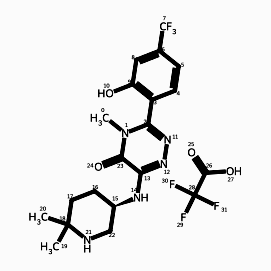 Cn1c(-c2ccc(C(F)(F)F)cc2O)nnc(N[C@@H]2CCC(C)(C)NC2)c1=O.O=C(O)C(F)(F)F